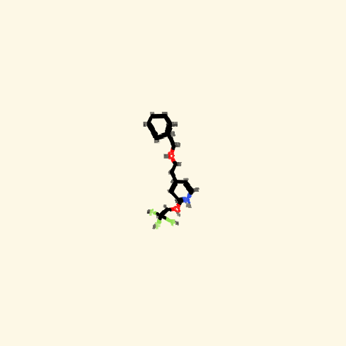 FC(F)(F)COc1cc(CCOCc2ccccc2)ccn1